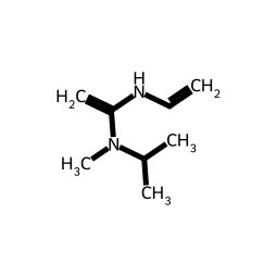 C=CNC(=C)N(C)C(C)C